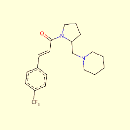 O=C(C=Cc1ccc(C(F)(F)F)cc1)N1CCCC1CN1CCCCC1